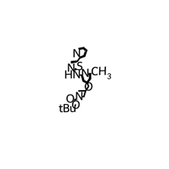 Cc1cc(OC2CN(C(=O)OC(C)(C)C)C2)cc(Nc2ncc(-c3ccccn3)s2)n1